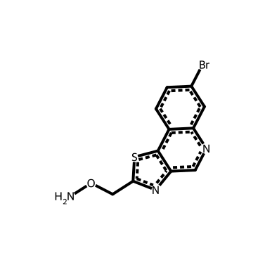 NOCc1nc2cnc3cc(Br)ccc3c2s1